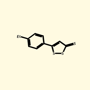 CCc1ccc(-c2cc(=S)ss2)cc1